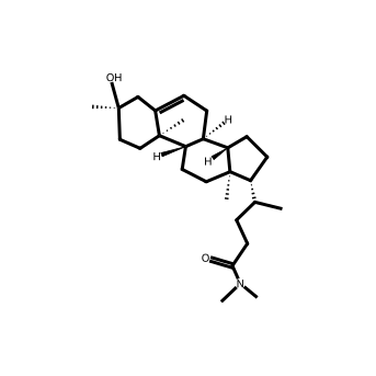 CC(CCC(=O)N(C)C)[C@H]1CC[C@H]2[C@@H]3CC=C4C[C@](C)(O)CC[C@]4(C)[C@H]3CC[C@]12C